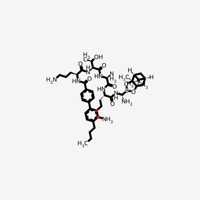 CCCCc1ccc(-c2ccc(C(=O)N[C@@H](CCCN)C(=O)N[C@H](C(=O)N[C@@H](N)C(=O)N[C@@H](CCCCN)C(=O)N[C@@H](N)B3OC4C[C@@H]5C[C@@H](C5(C)C)[C@]4(C)O3)[C@@H](C)O)cc2)cc1